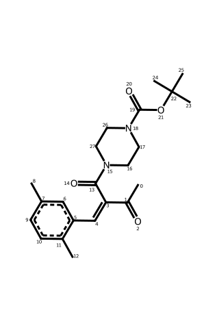 CC(=O)C(=Cc1cc(C)ccc1C)C(=O)N1CCN(C(=O)OC(C)(C)C)CC1